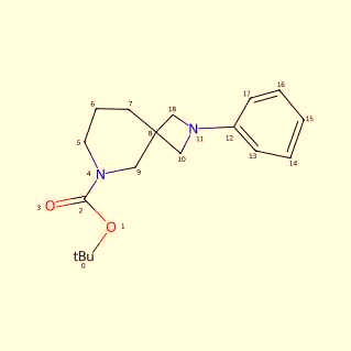 CC(C)(C)OC(=O)N1CCCC2(C1)CN(c1ccccc1)C2